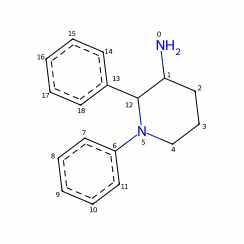 NC1CCCN(c2ccccc2)C1c1ccccc1